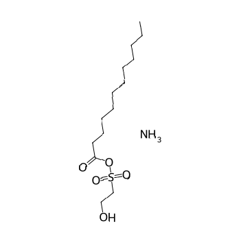 CCCCCCCCCCCC(=O)OS(=O)(=O)CCO.N